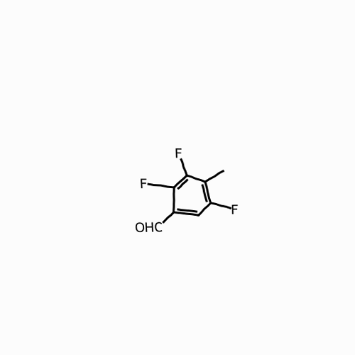 Cc1c(F)cc(C=O)c(F)c1F